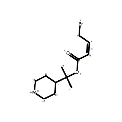 CC(C)(OC(=O)/C=C\CBr)C1CCNCC1